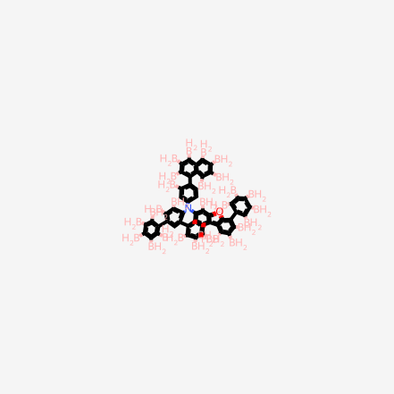 Bc1cc(N(c2cc(B)c3c(oc4c(-c5c(B)c(B)c(B)c(B)c5B)c(B)c(B)c(B)c43)c2B)c2c(-c3ccc(B)c(B)c3B)cc(-c3c(B)c(B)c(B)c(B)c3B)c(B)c2B)ccc1-c1c(B)c(B)c(B)c2c(B)c(B)c(B)c(B)c12